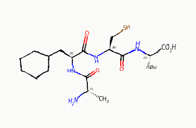 CCCC[C@H](NC(=O)[C@H](CS)NC(=O)[C@H](CC1CCCCC1)NC(=O)[C@H](C)N)C(=O)O